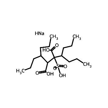 CCCC(CCC)C(C(=O)O)C(C(=O)O)(C(CCC)CCC)S(=O)(=O)O.[NaH]